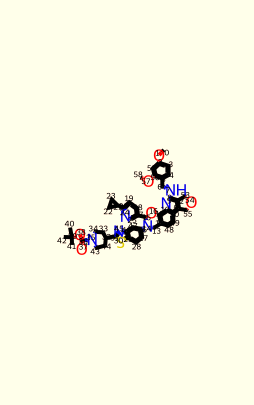 COc1ccc(CNc2nc3cc(CN(C(=O)c4ccc(C5CC5)nc4)c4ccc5sc(C6CCN(C(=O)OC(C)(C)C)CC6)nc5c4)ccc3c3c2COC3)c(OC)c1